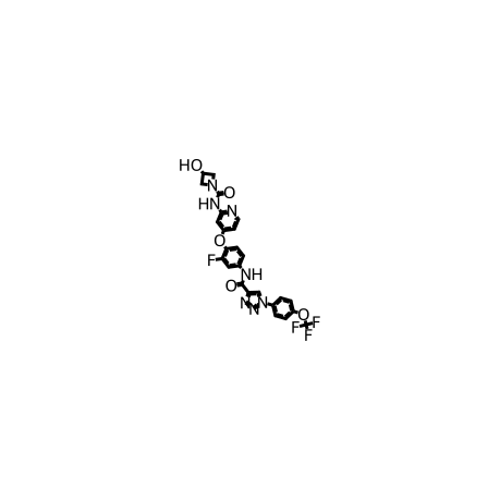 O=C(Nc1ccc(Oc2ccnc(NC(=O)N3CC(O)C3)c2)c(F)c1)c1cn(-c2ccc(OC(F)(F)F)cc2)nn1